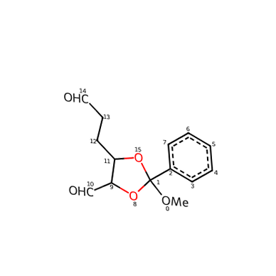 COC1(c2ccccc2)OC(C=O)C(CCC=O)O1